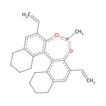 C=Cc1cc2c(c3c1op(C)oc1c(C=C)cc4c(c13)CCCC4)CCCC2